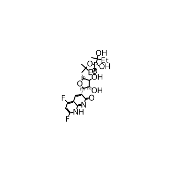 CCC(C)(C[C@H]1O[C@@H](c2cc3c(F)cc(F)[nH]c-3nc2=O)[C@@H](O)C1O)OP(=O)(O)C(C)(O)CC